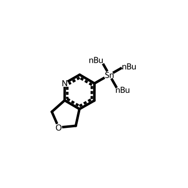 CCC[CH2][Sn]([CH2]CCC)([CH2]CCC)[c]1cnc2c(c1)COC2